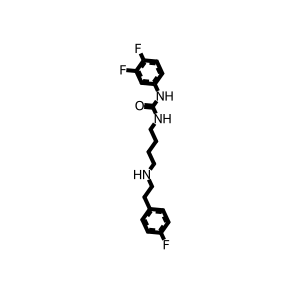 O=C(NCCCCNCCc1ccc(F)cc1)Nc1ccc(F)c(F)c1